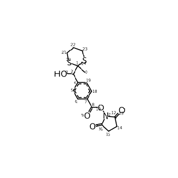 CC1(C(O)c2ccc(C(=O)ON3C(=O)CCC3=O)cc2)SCCCS1